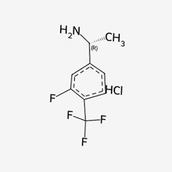 C[C@@H](N)c1ccc(C(F)(F)F)c(F)c1.Cl